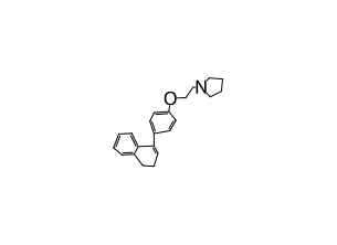 C1=C(c2ccc(OCCN3CCCC3)cc2)c2ccccc2CC1